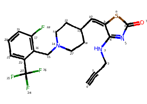 C#CCNC1=NC(=O)SC1=CC1CCN(Cc2c(F)cccc2C(F)(F)F)CC1